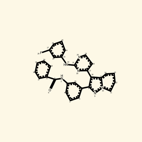 O=C(Nc1cccc(-c2nn3ccccc3c2-c2ccnc(Nc3cccc(F)c3)n2)c1)c1ccccc1